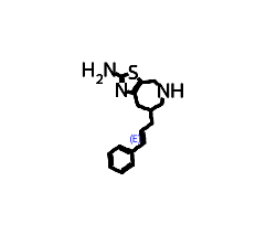 Nc1nc2c(s1)CNCC(C/C=C/c1ccccc1)C2